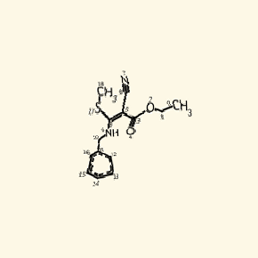 CCOC(=O)C(C#N)=C(NCc1ccccc1)SC